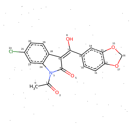 CC(=O)N1C(=O)/C(=C(/O)c2ccc3c(c2)OCO3)c2ccc(Cl)cc21